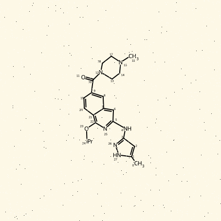 Cc1cc(Nc2cc3cc(C(=O)N4CCN(C)CC4)ccc3c(OC(C)C)n2)n[nH]1